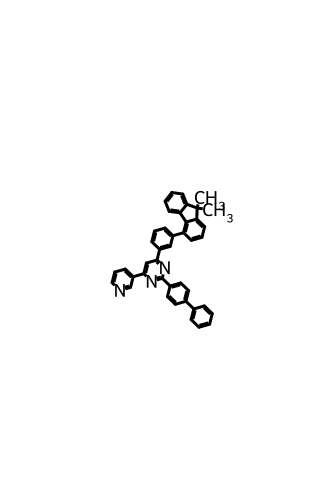 CC1(C)c2ccccc2-c2c(-c3cccc(-c4cc(-c5cccnc5)nc(-c5ccc(-c6ccccc6)cc5)n4)c3)cccc21